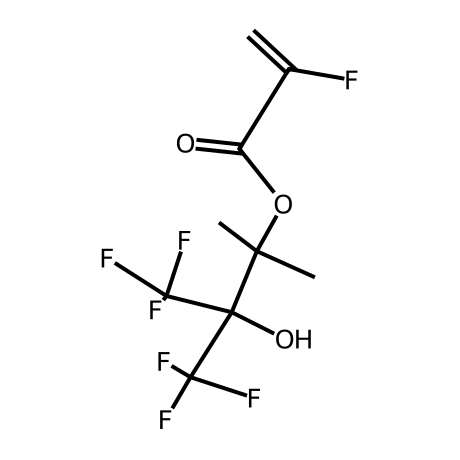 C=C(F)C(=O)OC(C)(C)C(O)(C(F)(F)F)C(F)(F)F